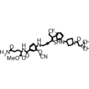 COC(=O)C(CCC(N)=O)NC(=O)c1ccc(NCC#Cc2sc3c(NC4CCN(C(=O)CN(C)C)CC4)cccc3c2CC(F)(F)F)c(OCC#N)c1